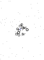 COC(=O)c1c[n+](Cc2ccccc2)ccc1/C=C1\Cc2cc(OC)c(OC)cc2C1=O.[Br-]